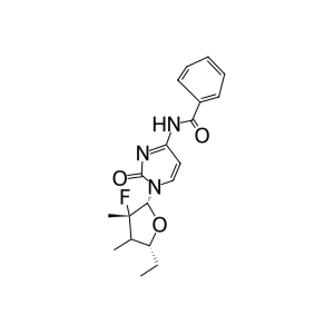 CC[C@H]1O[C@@H](n2ccc(NC(=O)c3ccccc3)nc2=O)[C@@](C)(F)C1C